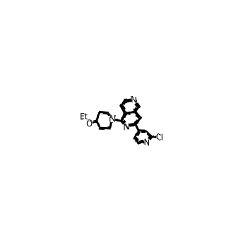 CCOC1CCN(c2nc(-c3ccnc(Cl)c3)cc3cnccc23)CC1